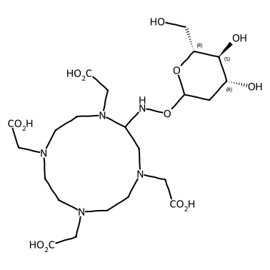 O=C(O)CN1CCN(CC(=O)O)CCN(CC(=O)O)C(NOC2C[C@@H](O)[C@H](O)[C@@H](CO)O2)CN(CC(=O)O)CC1